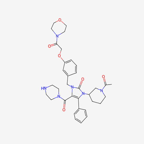 CC(=O)N1CCCC(n2c(-c3ccccc3)c(C(=O)N3CCNCC3)n(Cc3cccc(OCC(=O)N4CCOCC4)c3)c2=O)C1